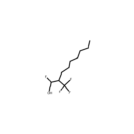 CCCCCCCC(C(O)F)C(F)(F)F